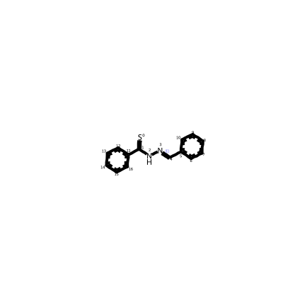 S=C(N/N=C/c1ccccc1)c1ccccc1